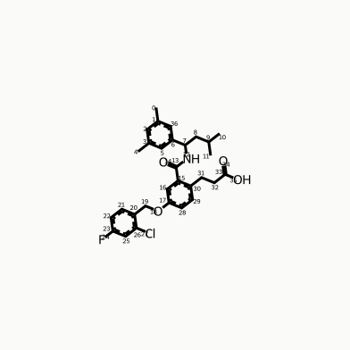 Cc1cc(C)cc(C(CC(C)C)NC(=O)c2cc(OCc3ccc(F)cc3Cl)ccc2CCC(=O)O)c1